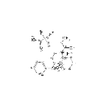 O=C(CC(F)(F)F)N1CCC(Nc2ccccc2)[C@@]2(O)CCCC[C@H]12.O=C(O)C(F)(F)F